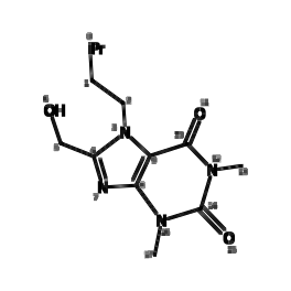 CC(C)CCn1c(CO)nc2c1c(=O)n(C)c(=O)n2C